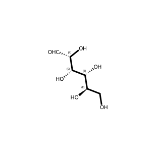 O=[14CH][C@H](O)[C@@H](O)[C@H](O)[C@H](O)CO